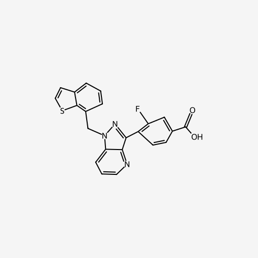 O=C(O)c1ccc(-c2nn(Cc3cccc4ccsc34)c3cccnc23)c(F)c1